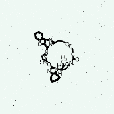 C[C@H]1CN2CC[C@@H]1n1c(nc3ccccc31)O[C@H]1CCN(C1)c1nc(nc3c1oc1ccccc13)CCOCCCC2=O